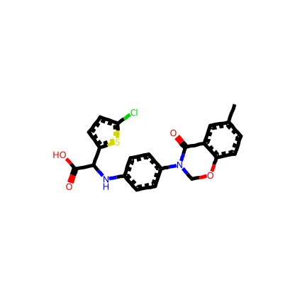 Cc1ccc2c(c1)C(=O)N(c1ccc(NC(C(=O)O)c3ccc(Cl)s3)cc1)CO2